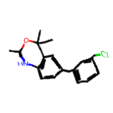 C[C]1Nc2ccc(-c3cccc(Cl)c3)cc2C(C)(C)O1